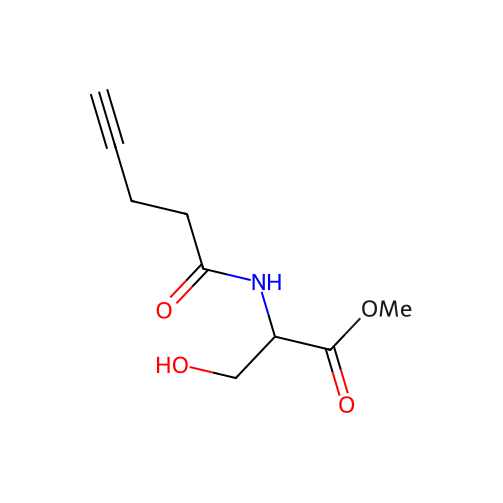 C#CCCC(=O)NC(CO)C(=O)OC